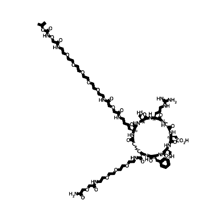 C=C(C)OC(=O)NOCC(=O)NCCOCCOCCOCCOCCOCCNC(=O)COCC(=O)NCCCC[C@@H]1NC(=O)CSC[C@@H](C(=O)NCCOCCOCCOCCNC(=O)COCC(N)=O)NC(=O)[C@H](Cc2ccccc2)NC(=O)[C@H](CS)NC(=O)[C@H](CC(=O)O)NC(=O)CNC(=O)[C@H](CCCNC(=N)N)NC(=O)[C@H](CS)NC1=O